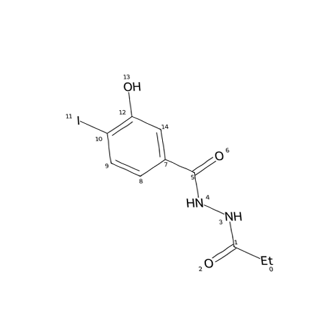 CCC(=O)NNC(=O)c1ccc(I)c(O)c1